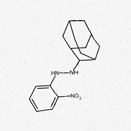 O=[N+]([O-])c1ccccc1NNC1C2CC3CC(C2)CC1C3